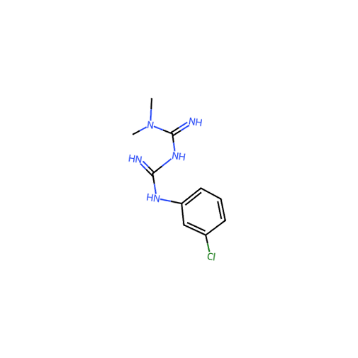 CN(C)C(=N)NC(=N)Nc1cccc(Cl)c1